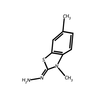 Cc1ccc2c(c1)sc(=NN)n2C